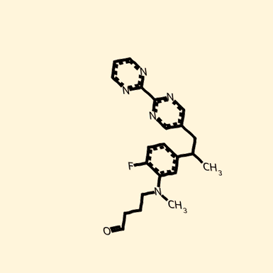 CC(Cc1cnc(-c2ncccn2)nc1)c1ccc(F)c(N(C)CCCC=O)c1